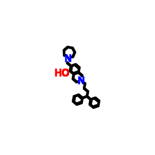 Oc1c(CN2CCCCCC2)ccc2c1CCN(CCCC(c1ccccc1)c1ccccc1)C2